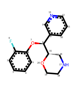 Fc1ccccc1O[C@@H](c1cccnc1)[C@@H]1CNCCO1